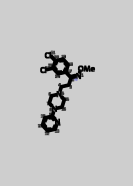 CO/N=C(/CCN1CCN(c2ccccn2)CC1)c1ccc(Cl)c(Cl)c1